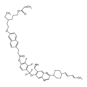 C=CC(=O)OCCCC(CC)CCOc1ccc2cc(CCC(=O)Oc3ccc(C(F)(F)Oc4cc5ncc(C6CCC(/C=C/C=C/C)CC6)nc5cc4C=N)c(F)c3F)ccc2c1